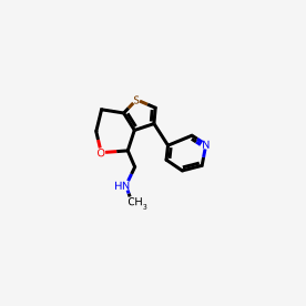 CNCC1OCCc2scc(-c3cccnc3)c21